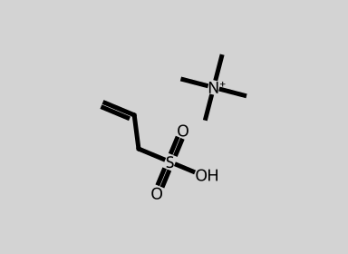 C=CCS(=O)(=O)O.C[N+](C)(C)C